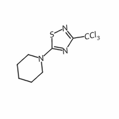 ClC(Cl)(Cl)c1nsc(N2CCCCC2)n1